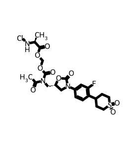 CC(=O)N(C[C@H]1CN(c2ccc(C3CCS(=O)(=O)CC3)c(F)c2)C(=O)O1)C(=O)OCOC(=O)[C@H](C)NCl